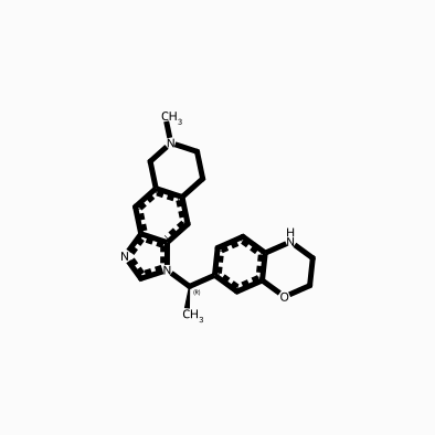 C[C@H](c1ccc2c(c1)OCCN2)n1cnc2cc3c(cc21)CCN(C)C3